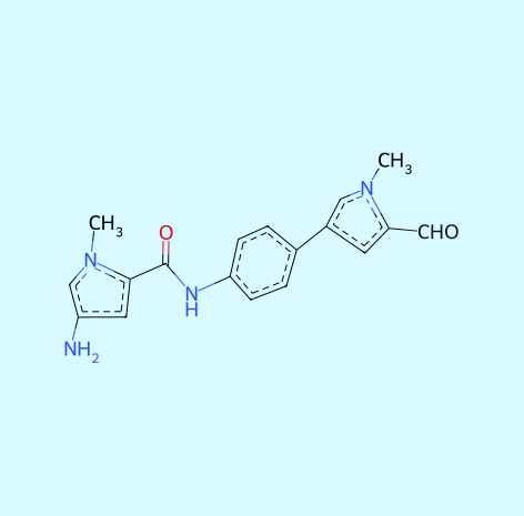 Cn1cc(-c2ccc(NC(=O)c3cc(N)cn3C)cc2)cc1C=O